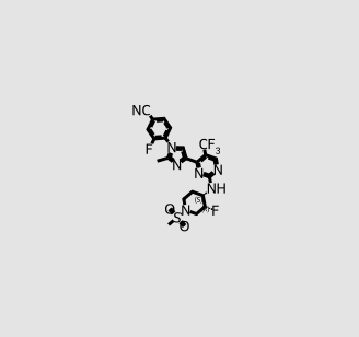 Cc1nc(-c2nc(N[C@H]3CCN(S(C)(=O)=O)C[C@H]3F)ncc2C(F)(F)F)cn1-c1ccc(C#N)cc1F